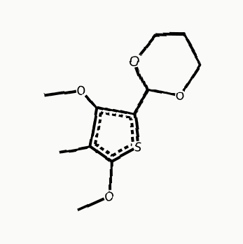 COc1sc(C2OCCCO2)c(OC)c1C